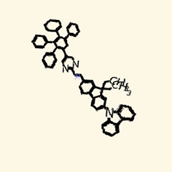 CCC1(CC)c2cc(/C=C/c3ncc(-c4cc(-c5ccccc5)c(C5=CC=CCC5)c(-c5ccccc5)c4-c4ccccc4)cn3)ccc2-c2ccc(-n3c4ccccc4c4ccccc43)cc21